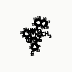 Cc1nc(C(=O)[C@]2(CNC(=O)c3cccc4cccnc34)NCCC[C@H]2C)c(-c2ccc(F)cc2)s1